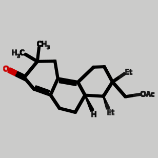 CC[C@H]1[C@@H]2CCC3=CC(=O)C(C)(C)CC3=C2CCC1(CC)COC(C)=O